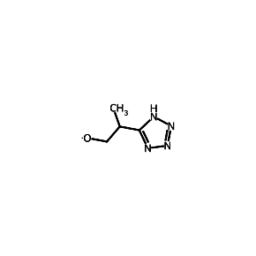 CC(C[O])c1nnn[nH]1